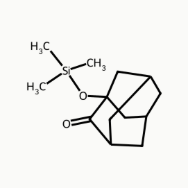 C[Si](C)(C)OC12CC3CC(CC(C3)C1=O)C2